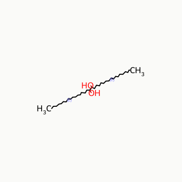 CCCCCCCC/C=C/CCCCCCCC(O)C(O)CCCCCCC/C=C/CCCCCCCC